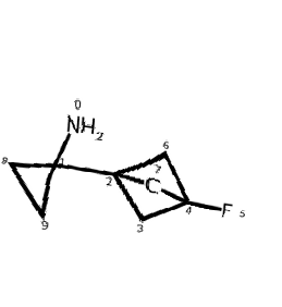 NC1(C23CC(F)(C2)C3)CC1